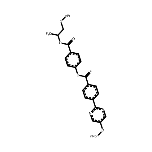 CCCCCCCCCOc1cnc(-c2ccc(C(=O)Oc3ccc(C(=O)OC(COCCC)C(F)(F)F)cc3)cc2)nc1